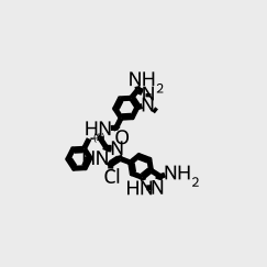 Cn1nc(N)c2ccc(C(=O)N[C@@H](Cc3ccccc3)c3nc(-c4ccc5c(N)n[nH]c5c4)c(Cl)[nH]3)cc21